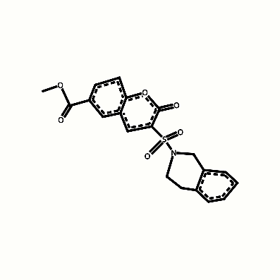 COC(=O)c1ccc2oc(=O)c(S(=O)(=O)N3CCc4ccccc4C3)cc2c1